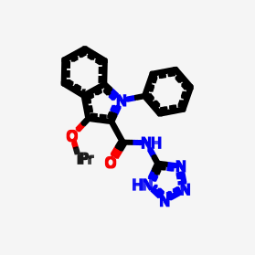 CC(C)Oc1c(C(=O)Nc2nnn[nH]2)n(-c2ccccc2)c2ccccc12